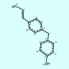 CCCC=Cc1ccc(Cc2ccc(CCC)cc2)cc1